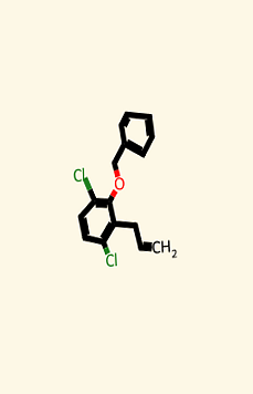 C=CCc1c(Cl)ccc(Cl)c1OCc1ccccc1